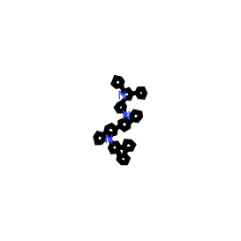 c1ccc(-c2cc(-c3ccccc3)nc(-c3cccc(-n4c5ccccc5c5ccc(-c6ccc7c8ccccc8n(-c8ccc9c%10ccccc%10c%10ccccc%10c9c8)c7c6)cc54)c3)c2)cc1